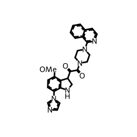 COc1ccc(-n2ccnc2)c2c1C(C(=O)C(=O)N1CCN(c3nccc4ccccc34)CC1)CN2